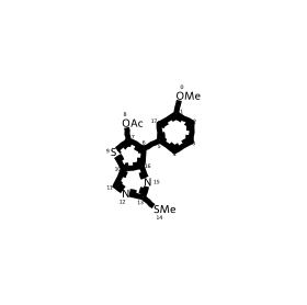 COc1cccc(-c2c(OC(C)=O)sc3cnc(SC)nc23)c1